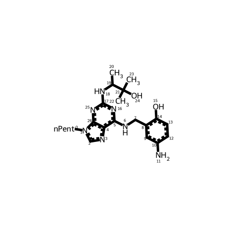 CCCCCn1cnc2c(NCc3cc(N)ccc3O)nc(NC(C)C(C)(C)O)nc21